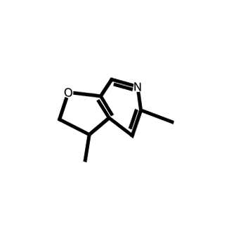 Cc1cc2c(cn1)OCC2C